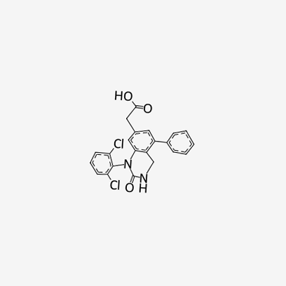 O=C(O)Cc1cc(-c2ccccc2)c2c(c1)N(c1c(Cl)cccc1Cl)C(=O)NC2